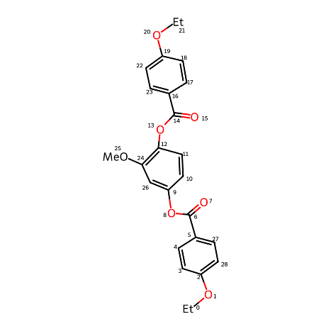 CCOc1ccc(C(=O)Oc2ccc(OC(=O)c3ccc(OCC)cc3)c(OC)c2)cc1